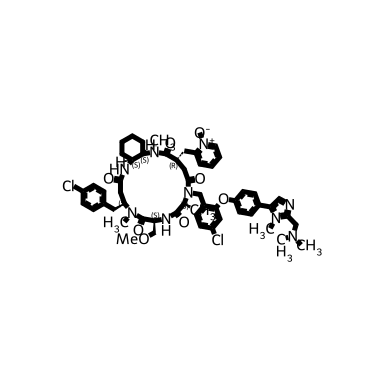 COC[C@@H]1NC(=O)[C@H](C)N(Cc2ccc(Cl)cc2Oc2ccc(-c3cnc(CN(C)C)n3C)cc2)C(=O)C[C@@H](Cc2cccc[n+]2[O-])C(=O)N(C)[C@H]2CCCC[C@@H]2NC(=O)C[C@H](Cc2ccc(Cl)cc2)N(C)C1=O